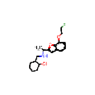 CC(NCC1CCCCC1O)c1cc2cccc(OCCF)c2o1